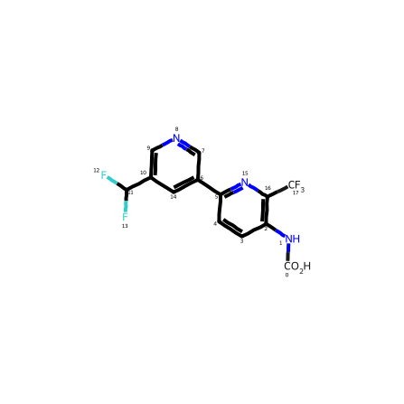 O=C(O)Nc1ccc(-c2cncc(C(F)F)c2)nc1C(F)(F)F